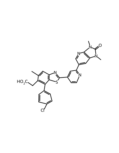 Cc1cc2nc(-c3ccnc(-c4cnc5c(c4)n(C)c(=O)n5C)c3)sc2c(-c2ccc(Cl)cc2)c1CC(=O)O